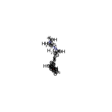 C=C1/C(=C\C=C2/CCC[C@@]3(C)C2CCC3[C@@H](C)/C=C/C(O)C2CC2)C[C@@H](O)C[C@@H]1OC(=O)CCSSCCC(=O)O[C@@H]1[C@H](C(C)C)[C@@H](O)[C@@H]2O[C@@]23[C@@]2(C)CCC4=C(COC4=O)[C@@H]2[C@H]2C[C@@]13O2